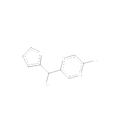 NC(c1cnc(Br)cn1)c1ccco1